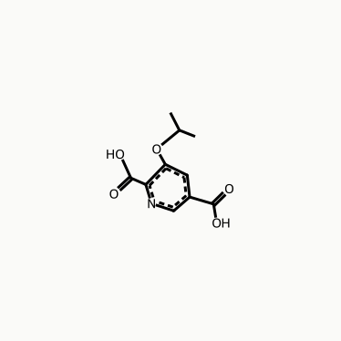 CC(C)Oc1cc(C(=O)O)cnc1C(=O)O